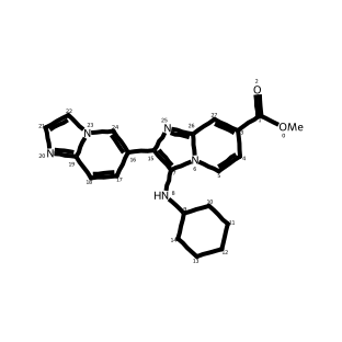 COC(=O)c1ccn2c(NC3CCCCC3)c(-c3ccc4nccn4c3)nc2c1